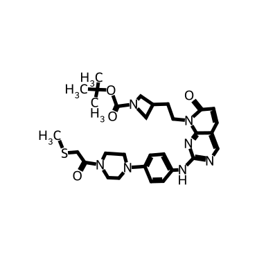 CSCC(=O)N1CCN(c2ccc(Nc3ncc4ccc(=O)n(CCC5CN(C(=O)OC(C)(C)C)C5)c4n3)cc2)CC1